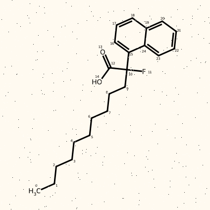 CCCCCCCCCCC(F)(C(=O)O)c1cccc2ccccc12